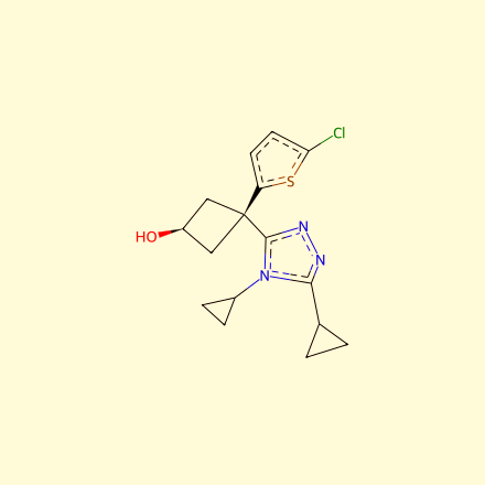 O[C@H]1C[C@](c2ccc(Cl)s2)(c2nnc(C3CC3)n2C2CC2)C1